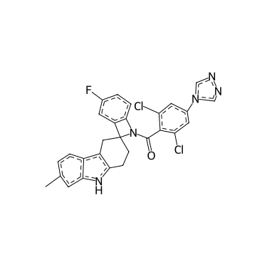 Cc1ccc2c3c([nH]c2c1)CCC1(C3)c2cc(F)ccc2N1C(=O)c1c(Cl)cc(-n2cnnc2)cc1Cl